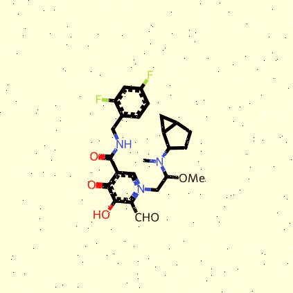 COC(Cn1cc(C(=O)NCc2ccc(F)cc2F)c(=O)c(O)c1C=O)N(C)C1CCC2CC21